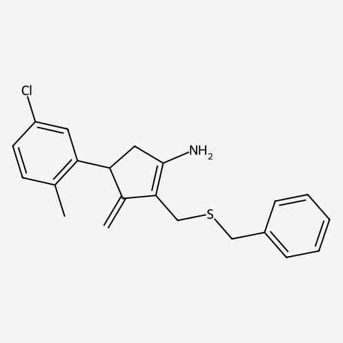 C=C1C(CSCc2ccccc2)=C(N)CC1c1cc(Cl)ccc1C